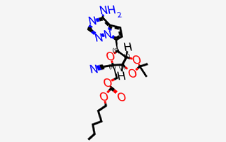 CCCCCCOC(=O)OC[C@@]1(C#N)O[C@@H](c2ccc3c(N)ncnn23)[C@@H]2OC(C)(C)O[C@@H]21